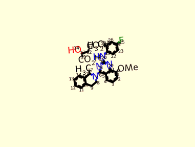 COc1cccc2c(N3CCc4ccccc4C3C)nc(Nc3ccc(F)cc3C)nc12.O=C(O)CC(O)C(=O)O